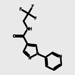 O=C(NCC(F)(F)F)c1cnn(-c2cccnc2)c1